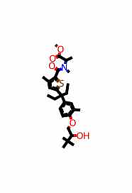 CCC(CC)(c1ccc(OCC(O)C(C)(C)C)c(C)c1)c1cc(C)c(C(=O)N(C)C(C)C(=O)OC)s1